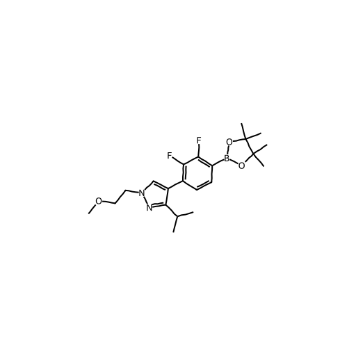 COCCn1cc(-c2ccc(B3OC(C)(C)C(C)(C)O3)c(F)c2F)c(C(C)C)n1